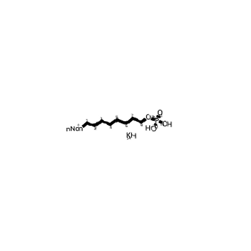 CCCCCCCCCCCCCCCCCOP(=O)(O)O.[KH]